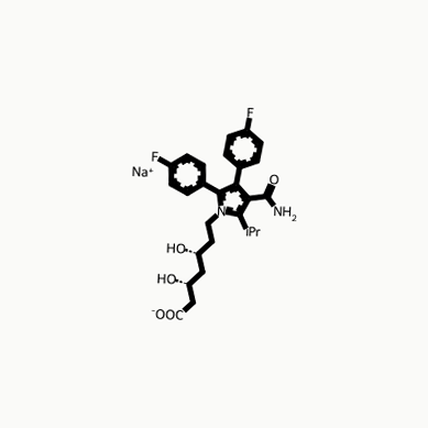 CC(C)c1c(C(N)=O)c(-c2ccc(F)cc2)c(-c2ccc(F)cc2)n1CC[C@@H](O)C[C@@H](O)CC(=O)[O-].[Na+]